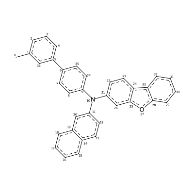 Cc1cccc(-c2ccc(N(c3ccc4ccccc4c3)c3ccc4c(c3)oc3ccccc34)cc2)c1